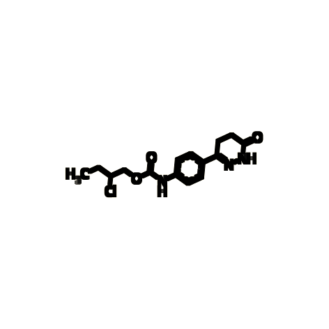 CCC(Cl)COC(=O)Nc1ccc(C2=NNC(=O)CC2)cc1